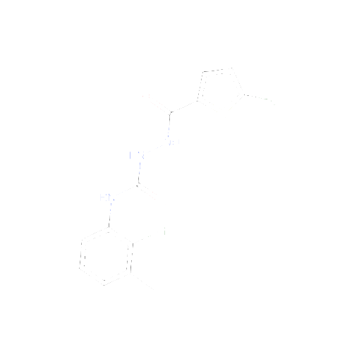 Cc1cccc(NC(=O)NNC(=O)c2ccc(Cl)s2)c1Cl